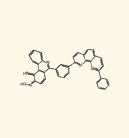 N=C1/C(=N\O)C=Cc2c(-c3cccc(-c4ccc5ccc6ccc(-c7ccccc7)nc6c5n4)c3)nc3ccccc3c21